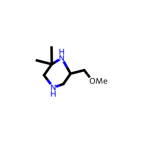 COCC1CNCC(C)(C)N1